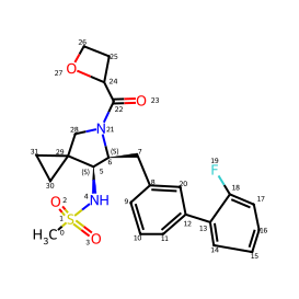 CS(=O)(=O)N[C@@H]1[C@H](Cc2cccc(-c3ccccc3F)c2)N(C(=O)C2CCO2)CC12CC2